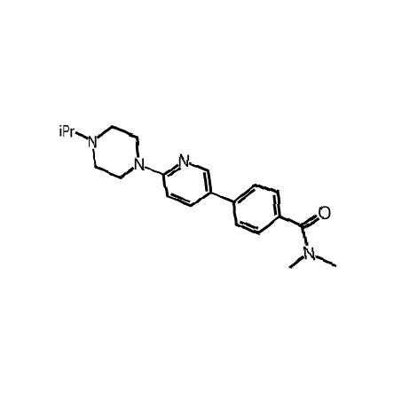 CC(C)N1CCN(c2ccc(-c3ccc(C(=O)N(C)C)cc3)cn2)CC1